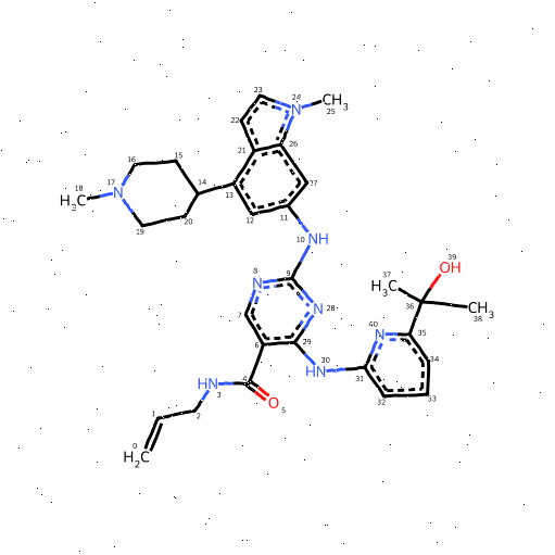 C=CCNC(=O)c1cnc(Nc2cc(C3CCN(C)CC3)c3ccn(C)c3c2)nc1Nc1cccc(C(C)(C)O)n1